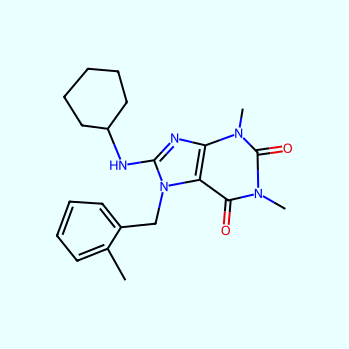 Cc1ccccc1Cn1c(NC2CCCCC2)nc2c1c(=O)n(C)c(=O)n2C